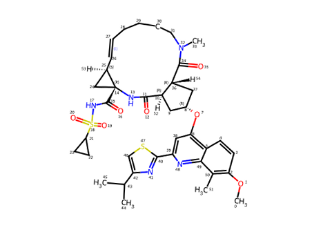 COc1ccc2c(O[C@@H]3C[C@H]4C(=O)N[C@]5(C(=O)NS(=O)(=O)C6CC6)C[C@H]5/C=C/CCCCN(C)C(=O)[C@@H]4C3)cc(-c3nc(C(C)C)cs3)nc2c1C